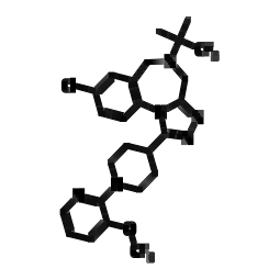 CC(C)(N1Cc2cc(Cl)ccc2-n2c(nnc2C2CCN(c3ncccc3OC(F)(F)F)CC2)C1)C(F)(F)F